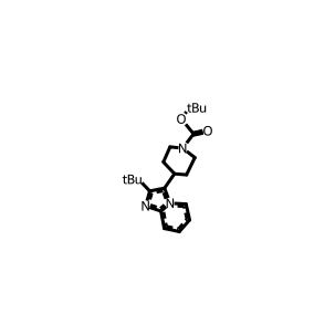 CC(C)(C)OC(=O)N1CCC(c2c(C(C)(C)C)nc3ccccn23)CC1